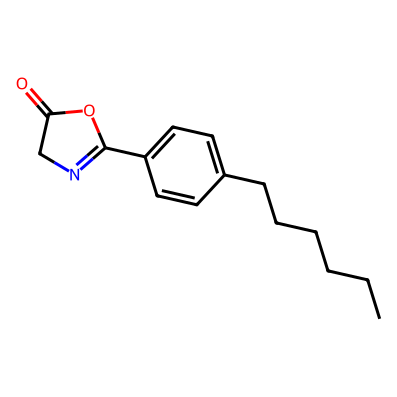 CCCCCCc1ccc(C2=NCC(=O)O2)cc1